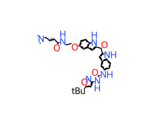 CN(C)C/C=C/C(=O)NCCOc1ccc2[nH]c(C(=O)c3cc4cc(NC(=O)Nc5cc(C(C)(C)C)on5)ccc4[nH]3)cc2c1